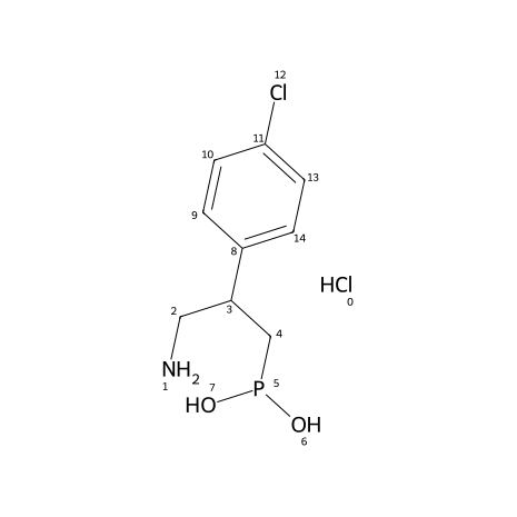 Cl.NCC(CP(O)O)c1ccc(Cl)cc1